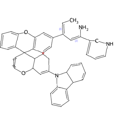 C/C=C(\C=C(/N)C1=CC=CNC1)c1ccc2c(c1)Oc1ccccc1C21C2=CCCC=C2OC2C=C(N3c4ccccc4C4C=CC=CC43)CCC21